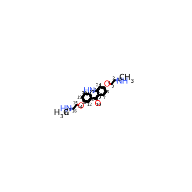 CNCCOc1ccc2c(=O)c3cc(OCCNC)ccc3[nH]c2c1